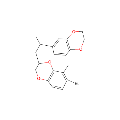 CCc1ccc2c(c1C)OC(CC(C)c1ccc3c(c1)OCCO3)CO2